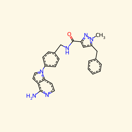 Cn1nc(C(=O)NCc2ccc(-n3ccc4c(N)nccc43)cc2)cc1Cc1ccccc1